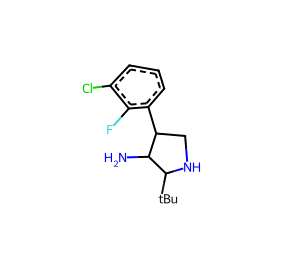 CC(C)(C)C1NCC(c2cccc(Cl)c2F)C1N